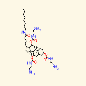 CCCCCCCCNC(=O)CC[C@@H](C)[C@H]1CC[C@H]2C3[C@H](OC(=O)NCCN)CC4C[C@H](OC(=O)NCCN)CC[C@]4(C)[C@H]3C[C@H](OC(=O)NCCN)[C@]12C